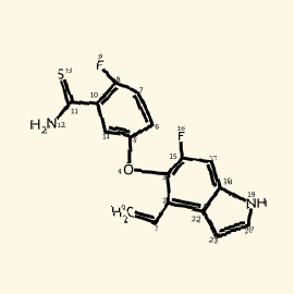 C=Cc1c(Oc2ccc(F)c(C(N)=S)c2)c(F)cc2[nH]ccc12